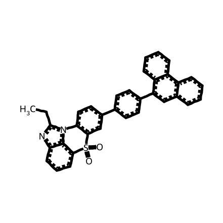 CCc1nc2cccc3c2n1-c1ccc(-c2ccc(-c4cc5ccccc5c5ccccc45)cc2)cc1S3(=O)=O